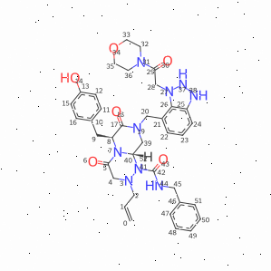 C=CCN1CC(=O)N2[C@@H](Cc3ccc(O)cc3)C(=O)N(Cc3cccc4c3N(CC(=O)N3CCOCC3)NN4)C[C@@H]2N1C(=O)NCc1ccccc1